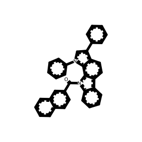 O=C(c1ccc2ccccc2c1)n1c2ccccc2c2ccc3c(-c4ccccc4)cn(-c4ccccc4)c3c21